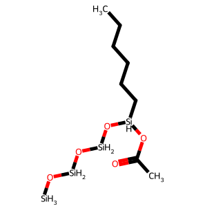 CCCCCC[SiH](O[SiH2]O[SiH2]O[SiH3])OC(C)=O